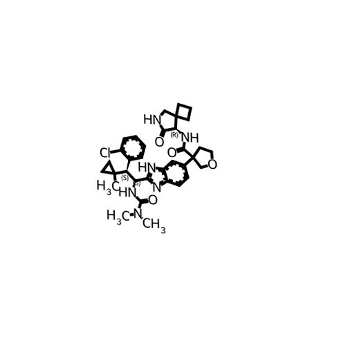 CN(C)C(=O)N[C@H](c1nc2ccc(C3(C(=O)N[C@H]4C(=O)NCC45CCC5)CCOC3)cc2[nH]1)[C@H](c1ccccc1Cl)C1(C)CC1